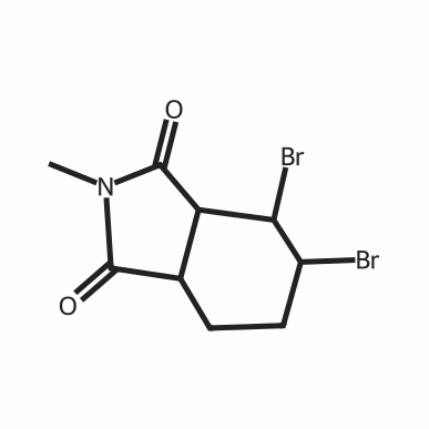 CN1C(=O)C2CCC(Br)C(Br)C2C1=O